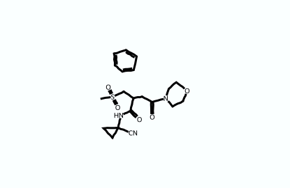 CS(=O)(=O)CC(CC(=O)N1CCOCC1)C(=O)NC1(C#N)CC1.c1ccccc1